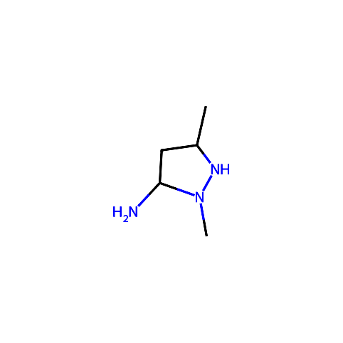 CC1CC(N)N(C)N1